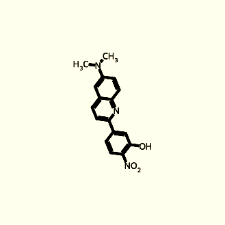 CN(C)c1ccc2nc(-c3ccc([N+](=O)[O-])c(O)c3)ccc2c1